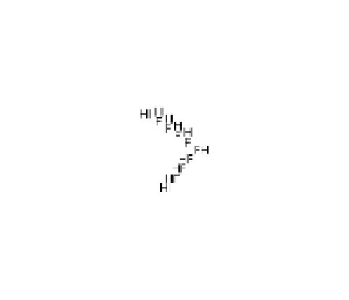 F.F.F.F.F.F.F.F.I.I